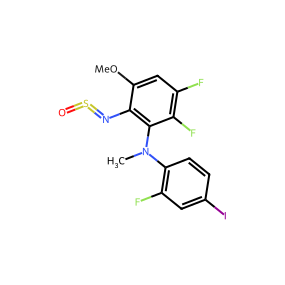 COc1cc(F)c(F)c(N(C)c2ccc(I)cc2F)c1N=S=O